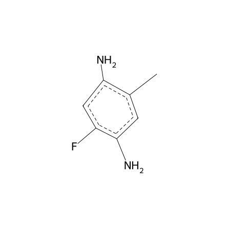 Cc1cc(N)c(F)cc1N